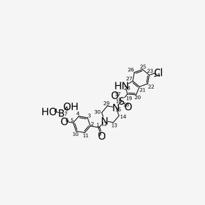 O=C(c1ccc(OB(O)O)cc1)N1CCN(S(=O)(=O)c2cc3cc(Cl)ccc3[nH]2)CC1